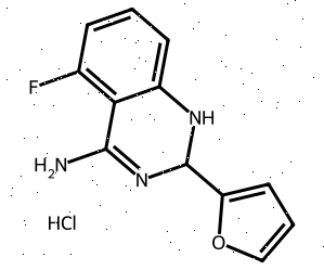 Cl.NC1=NC(c2ccco2)Nc2cccc(F)c21